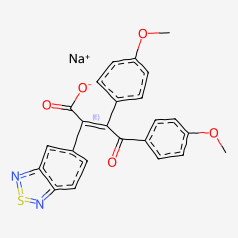 COc1ccc(C(=O)/C(=C(/C(=O)[O-])c2ccc3nsnc3c2)c2ccc(OC)cc2)cc1.[Na+]